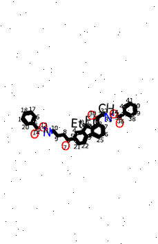 CCC1(CC)c2cc(C(=O)CCC=NOC(=O)c3ccccc3)ccc2-c2cccc(C(=O)C(C)=NOC(=O)c3ccccc3)c21